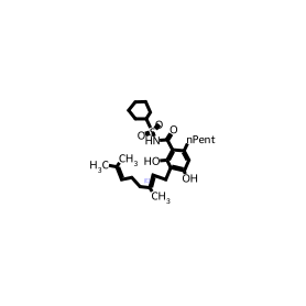 CCCCCc1cc(O)c(C/C=C(\C)CCC=C(C)C)c(O)c1C(=O)NS(=O)(=O)C1CCCCC1